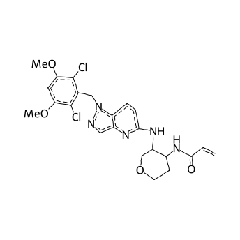 C=CC(=O)NC1CCOCC1Nc1ccc2c(cnn2Cc2c(Cl)c(OC)cc(OC)c2Cl)n1